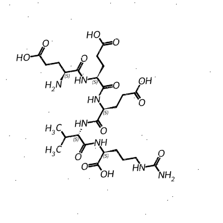 CC(C)[C@H](NC(=O)[C@H](CCC(=O)O)NC(=O)[C@H](CCC(=O)O)NC(=O)[C@@H](N)CCC(=O)O)C(=O)N[C@@H](CCCNC(N)=O)C(=O)O